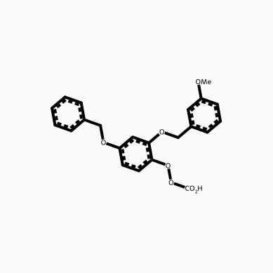 COc1cccc(COc2cc(OCc3ccccc3)ccc2OOC(=O)O)c1